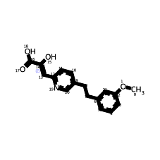 COc1cccc(CCc2ccc(/C=C(\O)C(=O)O)nc2)c1